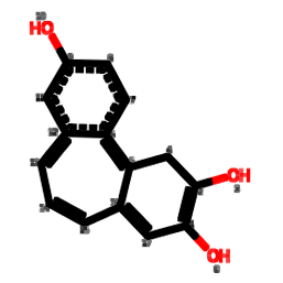 OC1=C(O)CC2=c3ccc(O)cc3=CC=CC2=C1